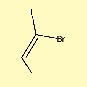 Br/C(I)=C\I